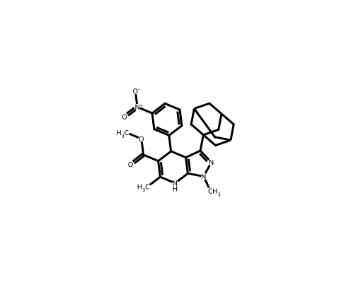 COC(=O)C1=C(C)Nc2c(c(C34CC5CC(CC(C5)C3)C4)nn2C)C1c1cccc([N+](=O)[O-])c1